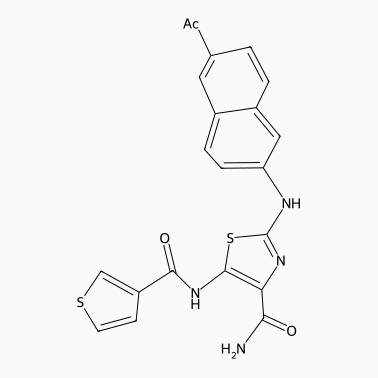 CC(=O)c1ccc2cc(Nc3nc(C(N)=O)c(NC(=O)c4ccsc4)s3)ccc2c1